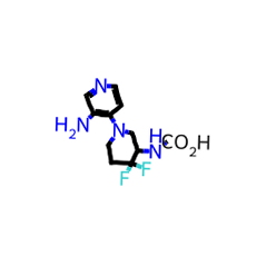 Nc1cnccc1N1CCC(F)(F)C(NC(=O)O)C1